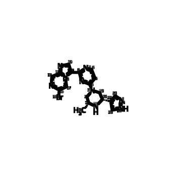 C[C@@H]1CN(c2ccnc(-c3cnc4cnc(Br)cn34)n2)C[C@H](c2cn[nH]c2)N1